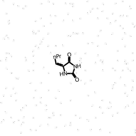 CCCC=C1NC(=O)NC1=O